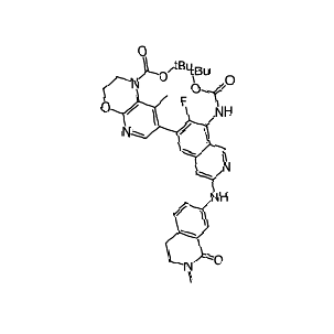 Cc1c(-c2cc3cc(Nc4ccc5c(c4)C(=O)N(C)CC5)ncc3c(NC(=O)OC(C)(C)C)c2F)cnc2c1N(C(=O)OC(C)(C)C)CCO2